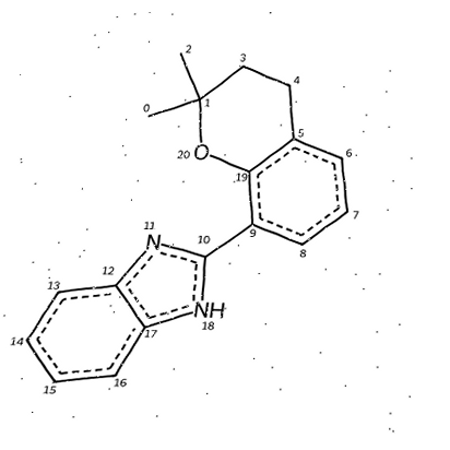 CC1(C)CCc2cccc(-c3nc4ccccc4[nH]3)c2O1